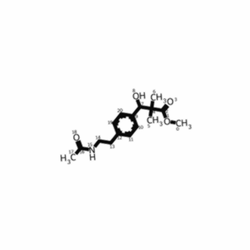 COC(=O)C(C)(C)C(O)c1ccc(CCNC(C)=O)cc1